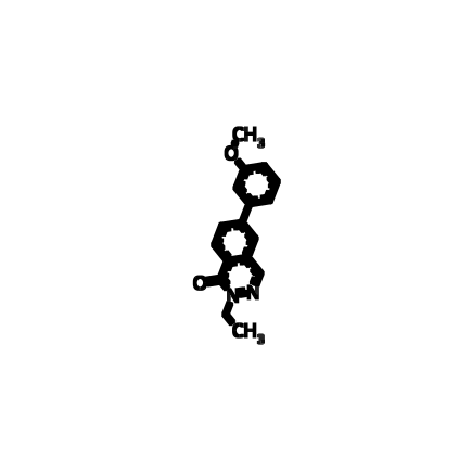 CCn1ncc2cc(-c3cccc(OC)c3)ccc2c1=O